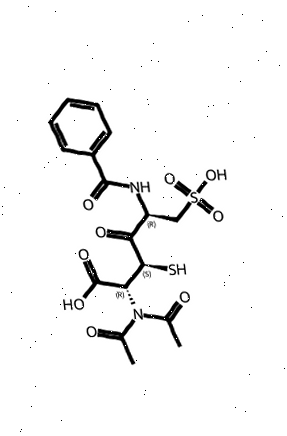 CC(=O)N(C(C)=O)[C@H](C(=O)O)[C@H](S)C(=O)[C@H](CS(=O)(=O)O)NC(=O)c1ccccc1